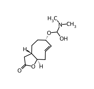 CN(C)C(O)O[C@@H]1/C=C/C[C@H]2OC(=O)C[C@@H]2CC1